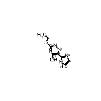 CCSc1nnc(-c2ncc[nH]2)c(O)n1